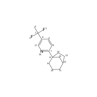 CC(F)(F)c1ccc(C23CCCC(CC2)C3)nc1